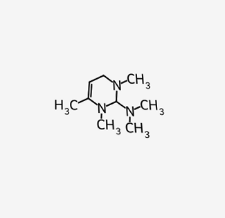 CC1=CCN(C)C(N(C)C)N1C